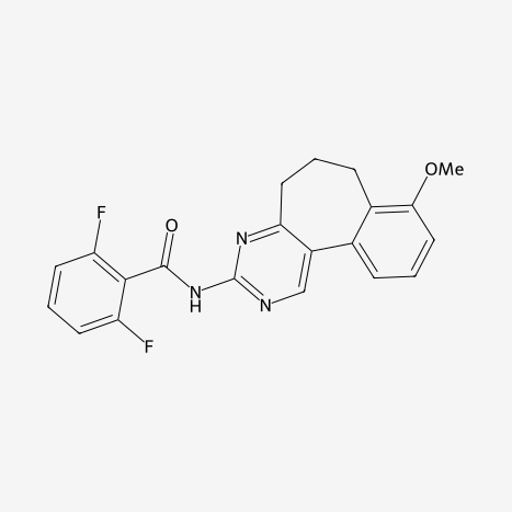 COc1cccc2c1CCCc1nc(NC(=O)c3c(F)cccc3F)ncc1-2